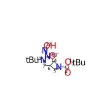 CC(C)(C)OC(=O)N1CC(CN([N+]([O-])=NO)C(C)(C)C)C1